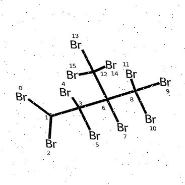 Br[C](Br)C(Br)(Br)C(Br)(C(Br)(Br)Br)C(Br)(Br)Br